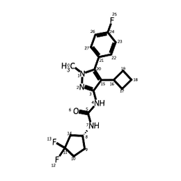 Cn1nc(NC(=O)N[C@@H]2CCC(F)(F)C2)c(C2CCC2)c1-c1ccc(F)cc1